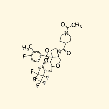 CC(=O)N1CCC(C(=O)N2CCC3(S(=O)(=O)c4ccc(F)c(C)c4)c4ccc(C(F)(C(F)(F)F)C(F)(F)F)cc4OCC23)CC1